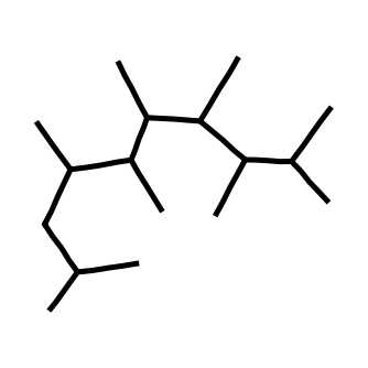 CC(C)CC(C)C(C)C(C)C(C)C(C)C(C)C